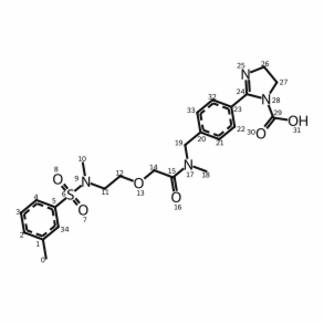 Cc1cccc(S(=O)(=O)N(C)CCOCC(=O)N(C)Cc2ccc(C3=NCCN3C(=O)O)cc2)c1